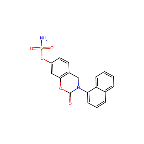 NS(=O)(=O)Oc1ccc2c(c1)OC(=O)N(c1cccc3ccccc13)C2